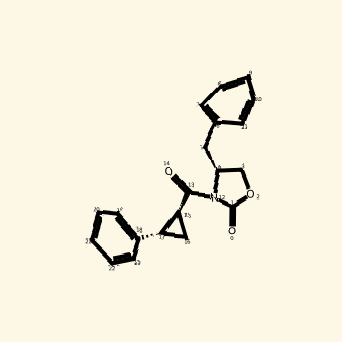 O=C1OC[C@H](Cc2ccccc2)N1C(=O)[C@H]1C[C@@H]1c1ccccc1